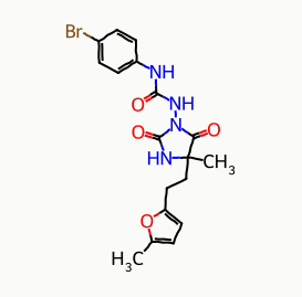 Cc1ccc(CCC2(C)NC(=O)N(NC(=O)Nc3ccc(Br)cc3)C2=O)o1